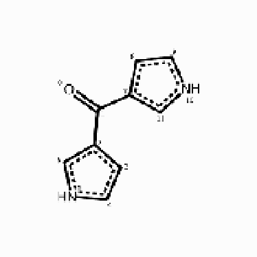 O=C(c1cc[nH]c1)c1cc[nH]c1